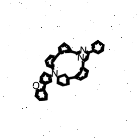 C1=CC2CC(=C1)c1cccc(c1)-c1cc(-c3ccccc3)nc(n1)-c1cccc(c1)-c1cccc(c1)N2c1ccc2oc3ccccc3c2c1